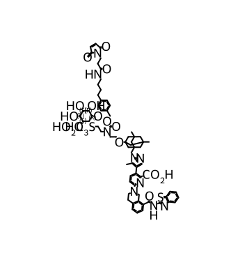 Cc1c(-c2ccc(N3CCc4cccc(C(=O)Nc5nc6ccccc6s5)c4C3)nc2C(=O)O)cnn1CC12CC3(C)CC(C)(C1)CC(OCCN(CCS(=O)(=O)O)C(=O)OCc1ccc(CCCCNC(=O)CCN4C(=O)C=CC4=O)cc1O[C@@H]1C[C@H](C(=O)O)[C@@H](O)[C@H](O)[C@H]1O)(C3)C2